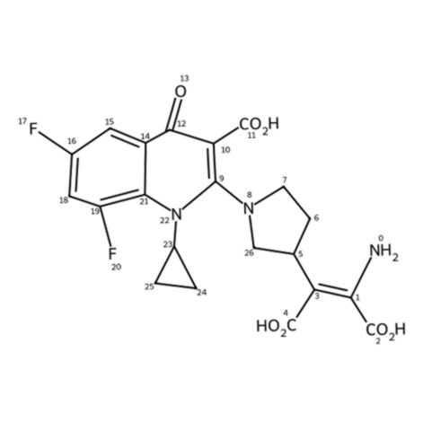 NC(C(=O)O)=C(C(=O)O)C1CCN(c2c(C(=O)O)c(=O)c3cc(F)cc(F)c3n2C2CC2)C1